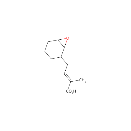 CC(=CCC1CCCC2OC12)C(=O)O